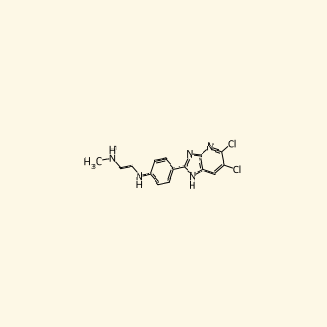 CNCCNc1ccc(-c2nc3nc(Cl)c(Cl)cc3[nH]2)cc1